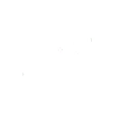 O=C(CCl)COCc1ccc(F)cc1